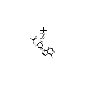 CC(=O)O[C@H]1C[C@H](n2ccc3c(C)ncnc32)C[C@H]1CO[Si](C)(C)C(C)(C)C